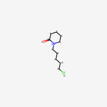 O=C1CCCCN1CCCCCCl